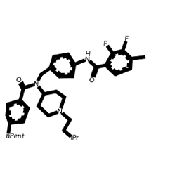 CCCCCc1ccc(C(=O)N(Cc2ccc(NC(=O)c3ccc(C)c(F)c3F)cc2)C2CCN(CCC(C)C)CC2)cc1